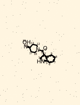 O=C(c1c[nH]c2ccccc12)N1CCC(=NO)CC1